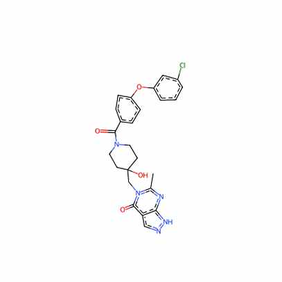 Cc1nc2[nH]ncc2c(=O)n1CC1(O)CCN(C(=O)c2ccc(Oc3cccc(Cl)c3)cc2)CC1